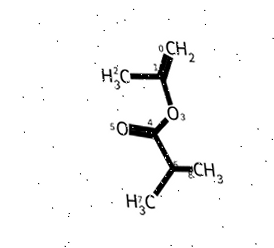 C=C(C)OC(=O)C(C)C